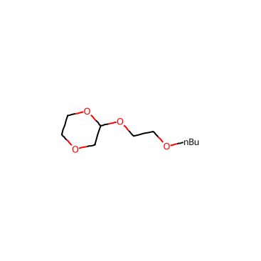 CCCCOCCOC1COCCO1